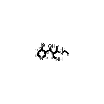 CCN/C(C)=C(\C=N)C(O)c1cnccc1Br